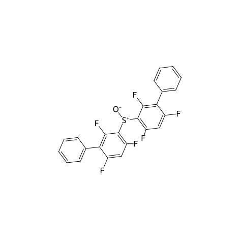 [O-][S+](c1c(F)cc(F)c(-c2ccccc2)c1F)c1c(F)cc(F)c(-c2ccccc2)c1F